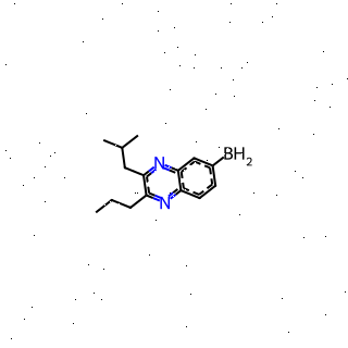 Bc1ccc2nc(CCC)c(CC(C)C)nc2c1